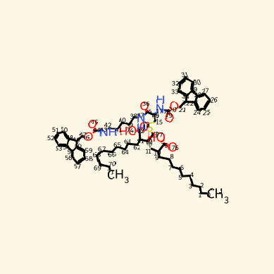 CCCCCCCCCCC(C[C@@H](CSC[C@H](NC(=O)OCC1c2ccccc2-c2ccccc21)C(=O)NCCCCCNC(=O)OCC1c2ccccc2-c2ccccc21)C(CCCCCCCCCC)C(=O)O)C(=O)O